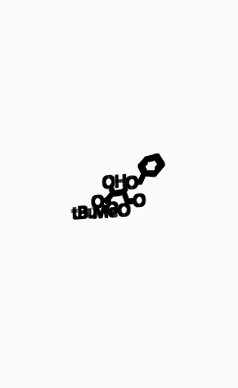 COC(=O)/C(OCc1ccccc1)=C(/O)C(=O)OC(C)(C)C